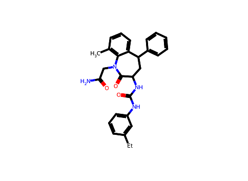 CCc1cccc(NC(=O)NC2CC(c3ccccc3)c3cccc(C)c3N(CC(N)=O)C2=O)c1